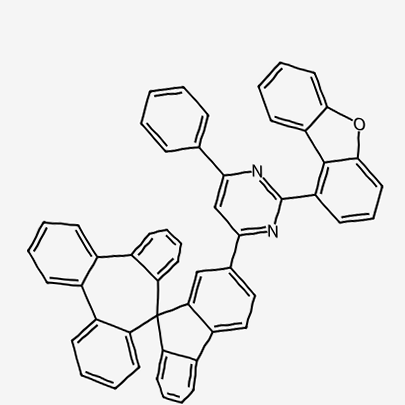 c1ccc(-c2cc(-c3ccc4c(c3)C3(c5ccccc5-c5ccccc5-c5ccccc53)c3ccccc3-4)nc(-c3cccc4oc5ccccc5c34)n2)cc1